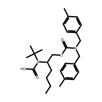 CCCCC(COC(=O)N(Cc1ccc(C)cc1)Cc1ccc(C)cc1)N(C(=O)O)C(C)(C)C